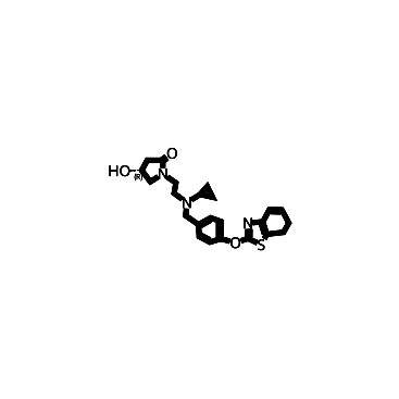 O=C1C[C@@H](O)CN1CCN(Cc1ccc(Oc2nc3c(s2)CCC=C3)cc1)C1CC1